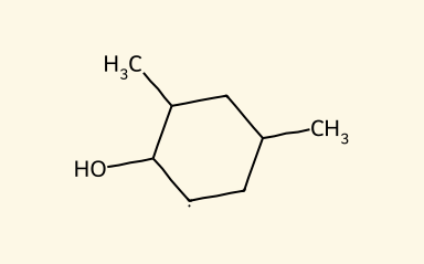 CC1C[CH]C(O)C(C)C1